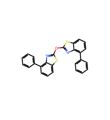 c1ccc(-c2cccc3sc(Oc4nc5c(-c6ccccc6)cccc5s4)nc23)cc1